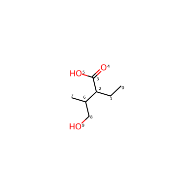 CCC(C(=O)O)C(C)CO